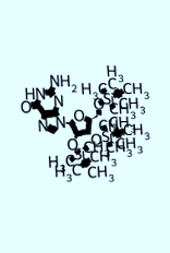 CC(C)(C)[Si](C)(C)OC[C@H]1O[C@@H](n2cnc3c(=O)[nH]c(N)nc32)[C@H](O[Si](C)(C)C(C)(C)C)[C@H]1O[Si](C)(C)C(C)(C)C